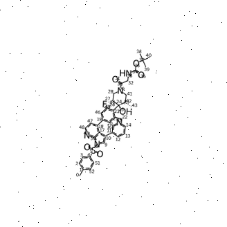 Cc1ccc(S(=O)(=O)n2cc(-c3cccnc3)c3c(-c4cc(C)c(C5(O)[C@H](C)CN(C(=O)CNC(=O)OC(C)(C)C)C[C@@H]5C)c(F)c4)ccnc32)cc1